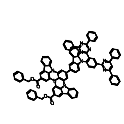 O=C(OCc1ccccc1)c1cc2c3c(c1)c1ccccc1n3-c1cc(-c3ccc4c(c3)c3ccccc3n4-c3ccc(-c4nc(-c5ccccc5)cc(-c5ccccc5)n4)cc3-c3nc(-c4ccccc4)nc(-c4ccccc4)n3)cc3c1B2c1cc(C(=O)OCc2ccccc2)cc2c4ccccc4n-3c12